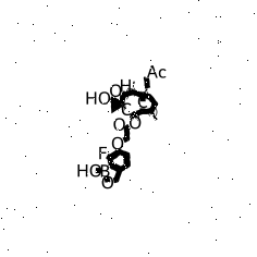 CC(=O)CC[C@]12CC[C@@H](C)C(C1)[C@H](OC(=O)COc1ccc3c(c1F)B(O)OC3)C[C@]13CC1(O)O[C@H]3[C@@H]2C